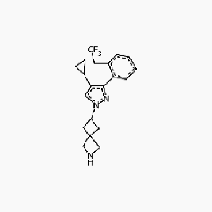 FC(F)(F)Cc1ccccc1-c1nn(C2CC3(CNC3)C2)cc1C1CC1